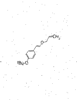 C=CCOC=Cc1ccc(OC(C)(C)C)cc1